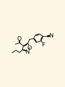 CCCc1noc(Cc2ccc(C#N)c(F)c2)c1C(C)=O